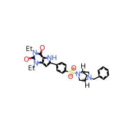 CCn1c(=O)c2[nH]c(-c3ccc(S(=O)(=O)N4C[C@@H]5C[C@H]4CN5Cc4ccccc4)cc3)cc2n(CC)c1=O